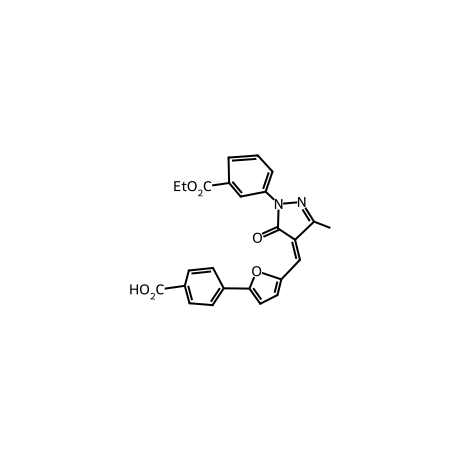 CCOC(=O)c1cccc(N2N=C(C)/C(=C/c3ccc(-c4ccc(C(=O)O)cc4)o3)C2=O)c1